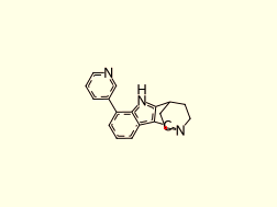 c1cncc(-c2cccc3c4c([nH]c23)C2CCN(CC2)C4)c1